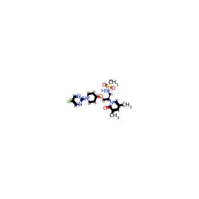 Cc1cc(C)c(=O)n([C@H](CNS(C)(=O)=O)COC2CCN(c3ncc(F)cn3)CC2)c1